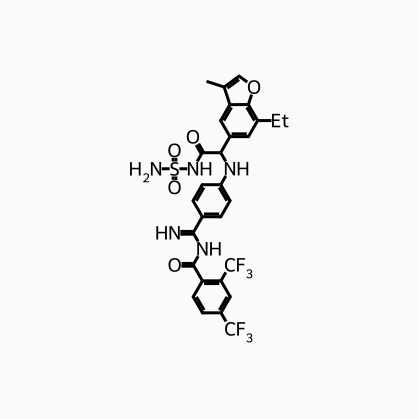 CCc1cc(C(Nc2ccc(C(=N)NC(=O)c3ccc(C(F)(F)F)cc3C(F)(F)F)cc2)C(=O)NS(N)(=O)=O)cc2c(C)coc12